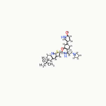 CC(C)(C)[C@H]1CCc2nc3sc(C(=O)N[C@H](CCN4CCCC4)c4ccc(-c5ccc(=O)[nH]c5)cc4)cc3cc2C1